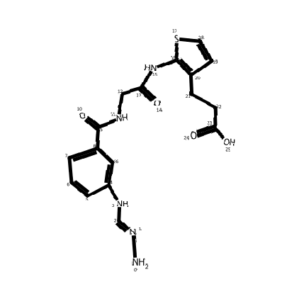 NN=CNc1cccc(C(=O)NCC(=O)Nc2sccc2CCC(=O)O)c1